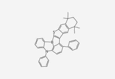 CC1(C)CCC(C)(C)c2cc3c4c(sc3cc21)B1c2ccccc2N(c2ccccc2)c2ccc(-c3ccccc3)c-4c21